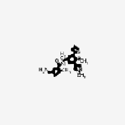 COc1c(-c2cnn(C)c2)cc(C(C)NC(=O)c2cc(CN)ccc2C)cc1-c1cccs1